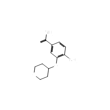 NC(=O)c1ccc(N)c(OC2CCOCC2)c1